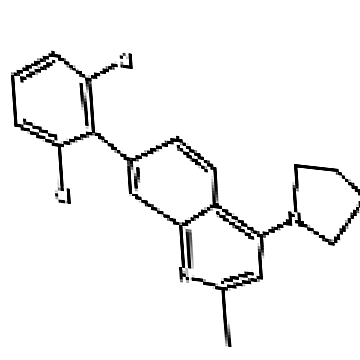 Cc1cc(N2CCCC2)c2ccc(-c3c(Cl)cccc3Cl)cc2n1